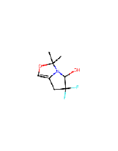 CC1(C)OC=C2CC(F)(F)C(O)N21